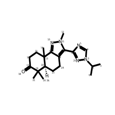 CC(C)n1cnc(-c2c3c(nn2C)C2(C)CCC(=O)C(C)(C)[C@@H]2CC3)n1